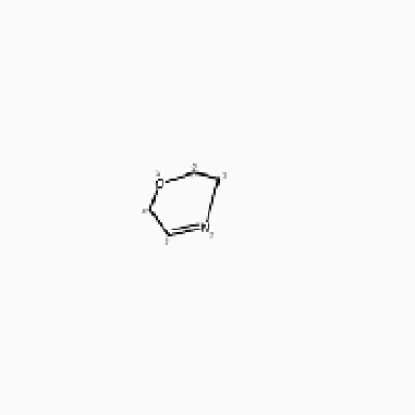 [C]1CN=CCO1